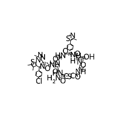 Cc1ncsc1-c1ccc([C@@H]2NC(=O)[C@@H]3C[C@@H](O)CN3C(=O)[C@H](C(C)(C)C)NC(=O)CSC[C@H](C(N)=O)NC(=O)C(CNC(=O)C[C@@H]3N=C(c4ccc(Cl)cc4)c4c(sc(C)c4C)-n4c(C)nnc43)NC(=O)[C@@H](C)NC2=O)cc1